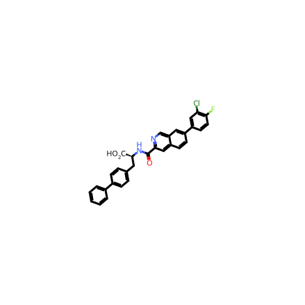 O=C(N[C@@H](Cc1ccc(-c2ccccc2)cc1)C(=O)O)c1cc2ccc(-c3ccc(F)c(Cl)c3)cc2cn1